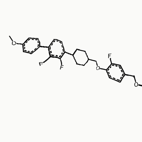 CCOCc1ccc(OCC2CCC(c3ccc(-c4ccc(OC)cc4)c(F)c3F)CC2)c(F)c1